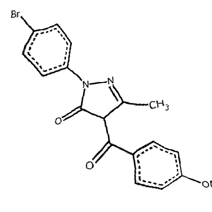 COc1ccc(C(=O)C2C(=O)N(c3ccc(Br)cc3)N=C2C)cc1